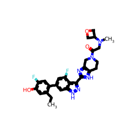 CCc1cc(O)c(F)cc1-c1cc(F)c2c(-c3nc4c([nH]3)CCN(C(=O)CN(C)C3COC3)C4)n[nH]c2c1